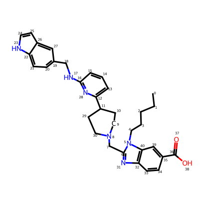 CCCCCn1c(CN2CCC(c3cccc(NCc4ccc5[nH]ccc5c4)n3)CC2)nc2ccc(C(=O)O)cc21